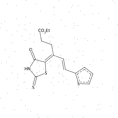 CCOC(=O)CCC(C=Cc1cccs1)=C1SC(=S)NC1=O